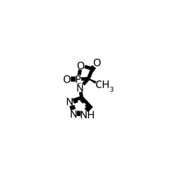 C[C@]12C(=O)OP1(=O)N2c1c[nH]nn1